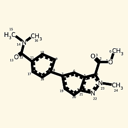 COC(=O)c1c2cc(-c3ccc(C(=O)N(C)C)cc3)ccc2nn1C